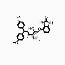 COc1ccc(C(C[C@@H](C)[C@H](N)[C@@H](O)COc2cccc3[nH]c(=O)[nH]c23)c2ccc(OC)cc2)cc1